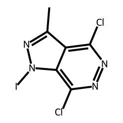 Cc1nn(I)c2c(Cl)nnc(Cl)c12